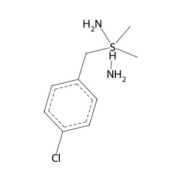 C[SH](C)(N)(N)Cc1ccc(Cl)cc1